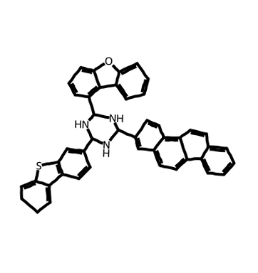 C1=c2sc3cc(C4NC(c5ccc6c(ccc7c8ccccc8ccc67)c5)NC(c5cccc6oc7ccccc7c56)N4)ccc3c2=CCC1